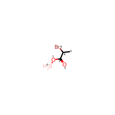 BOC(=O)C(C)Br